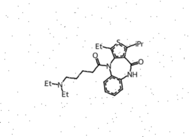 CCc1sc(C(C)C)c2c1N(C(=O)CCCCN(CC)CC)c1ccccc1NC2=O